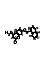 CC1CC(=O)Oc2cc(OCc3cccc4ccccc34)ccc21